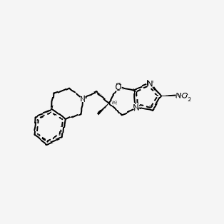 C[C@]1(CN2CCc3ccccc3C2)Cn2cc([N+](=O)[O-])nc2O1